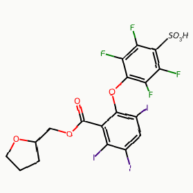 O=C(OCC1CCCO1)c1c(I)c(I)cc(I)c1Oc1c(F)c(F)c(S(=O)(=O)O)c(F)c1F